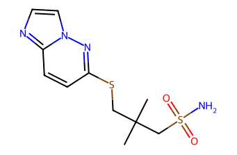 CC(C)(CSc1ccc2nccn2n1)CS(N)(=O)=O